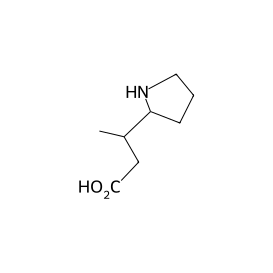 CC(CC(=O)O)C1CCCN1